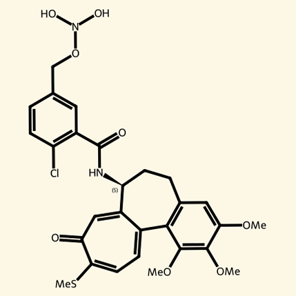 COc1cc2c(c(OC)c1OC)-c1ccc(SC)c(=O)cc1[C@@H](NC(=O)c1cc(CON(O)O)ccc1Cl)CC2